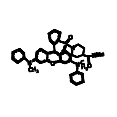 CNC(=O)C1CCN(S(=O)(=O)c2ccccc2-c2c3cc/c(=[N+](/C)c4ccccc4)cc-3oc3cc(N(C)c4ccccc4)ccc23)CC1